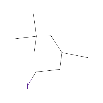 CC(CCI)CC(C)(C)C